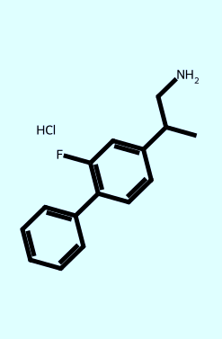 CC(CN)c1ccc(-c2ccccc2)c(F)c1.Cl